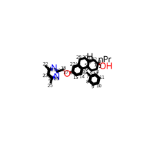 CCC[C@@]1(O)CC[C@@]2(Cc3ccccc3)c3ccc(OCc4nc(C)cc(C)n4)cc3CC[C@@H]2C1